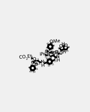 CCOC(=O)COP(=O)(CCNCc1ccc(C[C@H](NC(=O)O[C@H]2CO[C@H]3OCC[C@H]32)[C@H](O)CN(CC(C)C)S(=O)(=O)c2ccc(OC)cc2)cc1)Oc1ccccc1